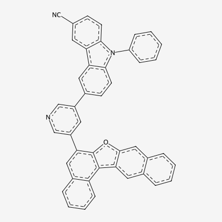 N#Cc1ccc2c(c1)c1cc(-c3cncc(-c4cc5ccccc5c5c4oc4cc6ccccc6cc45)c3)ccc1n2-c1ccccc1